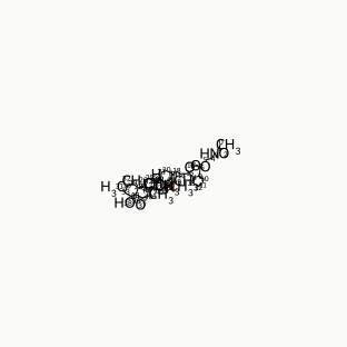 CC(=O)NCCOC(=O)c1ccccc1C(=O)CC[C@H]1CC[C@]2(C)[C@H]3CCC4=C5CC(C)(C)CC[C@]5(C(=O)O)CC[C@@]4(C)[C@]3(C)CC[C@H]2C1(C)C